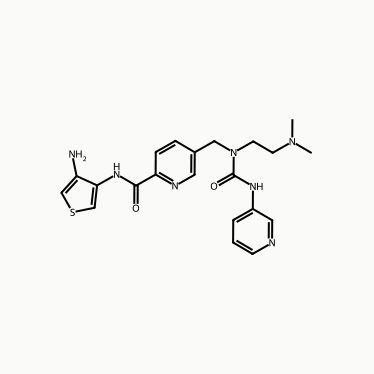 CN(C)CCN(Cc1ccc(C(=O)Nc2cscc2N)nc1)C(=O)Nc1cccnc1